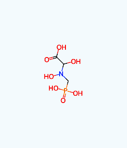 O=C(O)C(O)N(O)CP(=O)(O)O